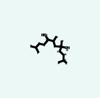 CC(C)CCC(O)C(C)CC(C)(O)CCC(C)C